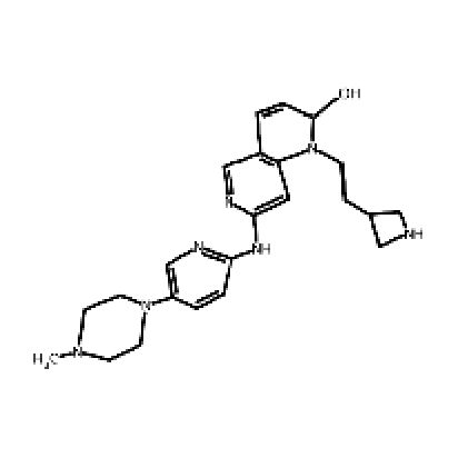 CN1CCN(c2ccc(Nc3cc4c(cn3)C=CC(O)N4CCC3CNC3)nc2)CC1